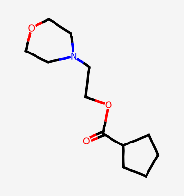 O=C(OCCN1CCOCC1)C1CCCC1